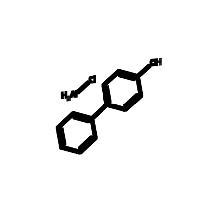 Oc1ccc(-c2ccccc2)cc1.[AlH2][Cl]